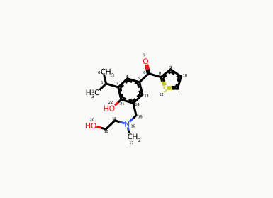 CC(C)c1cc(C(=O)c2cccs2)cc(CN(C)CCO)c1O